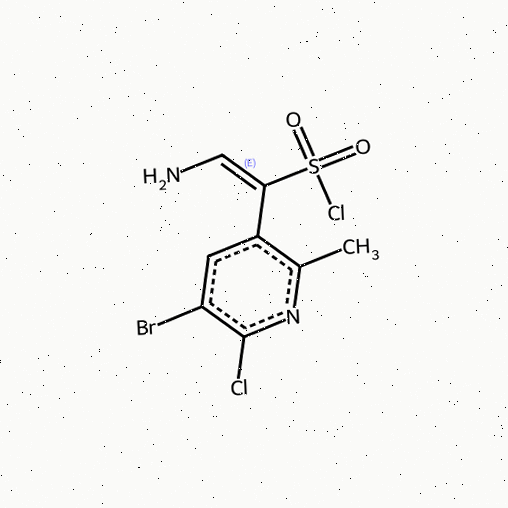 Cc1nc(Cl)c(Br)cc1/C(=C\N)S(=O)(=O)Cl